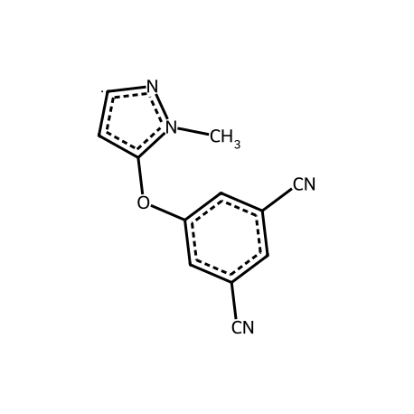 Cn1n[c]cc1Oc1cc(C#N)cc(C#N)c1